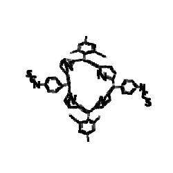 Cc1cc(C)c(C2=C3C=CC(=N3)C(c3ccc(N=C=S)cc3)=C3C=CC(=N3)C(c3c(C)cc(C)cc3C)=C3C=CC(=N3)C(c3ccc(N=C=S)cc3)=C3C=CC2=N3)c(C)c1